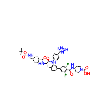 CC(C)(C)OC(=O)NC[C@H]1CC[C@H](C(=O)N[C@@H](Cc2ccc(-c3cc(F)c(C(=O)NC4CCN(C(=O)O)CC4)c(F)c3)cc2)C(=O)Nc2ccc(-c3nn[nH]n3)cc2)CC1